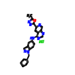 Cc1nnc(-c2cc3c(Nc4ccc5c(cnn5Cc5ccccc5)c4)ncnc3cn2)o1.Cl